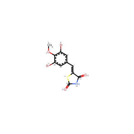 COc1c(Br)cc(/C=C2\SC(=O)NC2=O)cc1Br